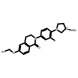 CN[C@@H]1CCN(c2ccc(N3CCc4cc(OCC(C)=O)ccc4C3=O)cc2F)C1